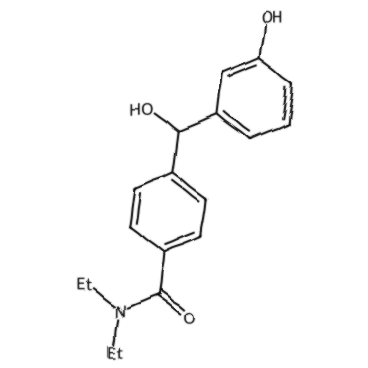 CCN(CC)C(=O)c1ccc(C(O)c2cccc(O)c2)cc1